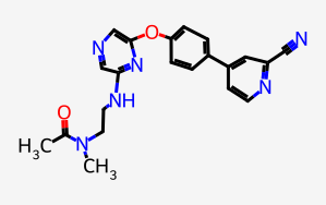 CC(=O)N(C)CCNc1cncc(Oc2ccc(-c3ccnc(C#N)c3)cc2)n1